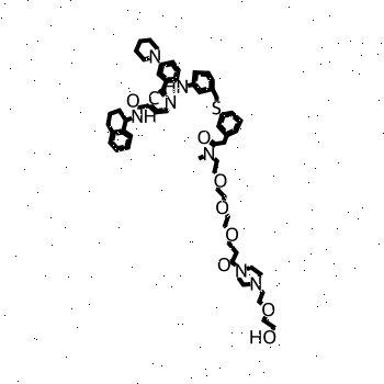 CN(CCOCCOCCOCCC(=O)N1CCN(CCOCCO)CC1)C(=O)Cc1cccc(SCc2cccc(Nc3ccc(N4CCCCC4)cc3-c3cc(C(=O)NC4CCCc5ccccc54)ccn3)c2)c1